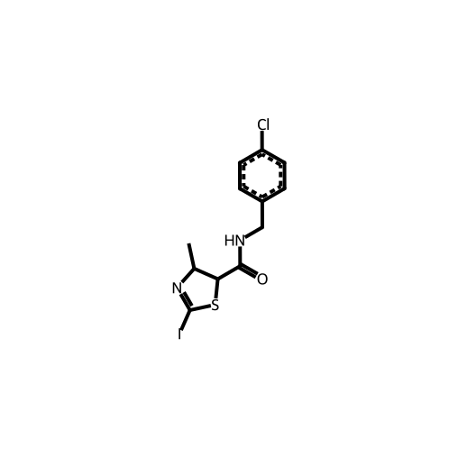 CC1N=C(I)SC1C(=O)NCc1ccc(Cl)cc1